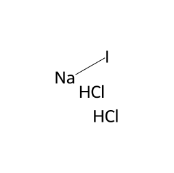 Cl.Cl.[Na][I]